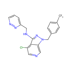 FC(F)(F)c1ccc(Cn2nc(NCc3cccnn3)c3c(Cl)cncc32)cc1